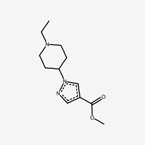 CCN1CCC(n2cc(C(=O)OC)cn2)CC1